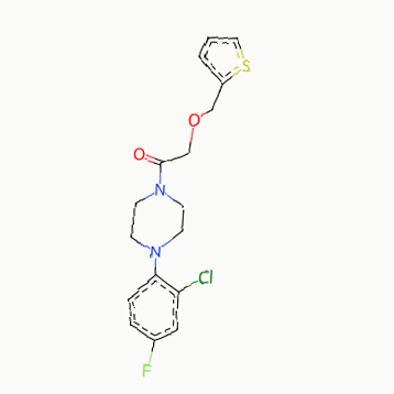 O=C(COCc1cccs1)N1CCN(c2ccc(F)cc2Cl)CC1